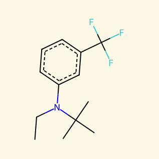 CCN(c1cccc(C(F)(F)F)c1)C(C)(C)C